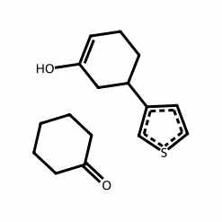 O=C1CCCCC1.OC1=CCCC(c2ccsc2)C1